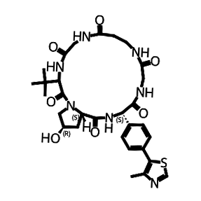 Cc1ncsc1-c1ccc([C@@H]2NC(=O)[C@@H]3C[C@@H](O)CN3C(=O)C(C(C)(C)C)NC(=O)CNC(=O)CCNC(=O)CNC2=O)cc1